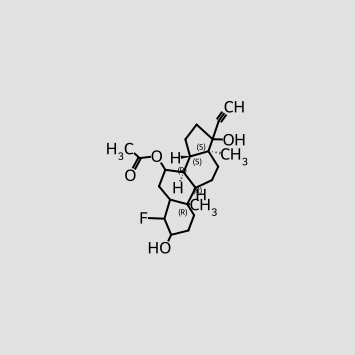 C#CC1(O)CC[C@H]2[C@@H]3C(OC(C)=O)CC4C(F)C(O)CC[C@]4(C)[C@@H]3CC[C@@]21C